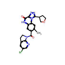 Cc1cc2c(cc1C(=O)N1CCc3cc(Br)cnc31)[nH]c(=O)c1nnc(C3CCOC3)n12